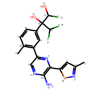 Cc1cc(-c2nc(-c3cc(C(O)(C(O)F)C(F)F)ccc3C)cnc2N)sn1